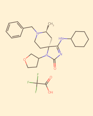 C[C@H]1C[C@]2(CCN1Cc1ccccc1)C(NC1CCCCC1)=NC(=O)N2C1CCOC1.O=C(O)C(F)(F)F